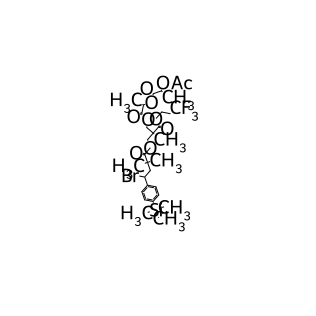 CC(=O)OC(C)C(=O)OC(C)C(=O)OCC(C)(COC(=O)C(C)(C)CC(Br)c1ccc([Si](C)(C)C)cc1)C(=O)OCCC(F)(F)F